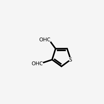 O=Cc1cscc1C=O